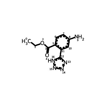 CCOC(=O)c1ccc(N)cc1-c1nnn[nH]1